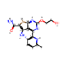 Cc1cccc(-c2nc(OCCO)nc3sc(C(N)=O)c(N)c23)n1